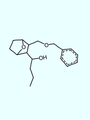 CCCC(O)C1C2CCC(O2)C1COCc1ccccc1